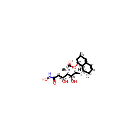 CC[C@H](C)C(=O)O[C@H]1C[C@@H](C)C=C2C=C[C@H](C)[C@H](CC[C@@H](O)C[C@@H](O)CC(=O)NO)[C@H]21